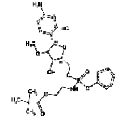 COC1C(O)[C@@H](COP(=O)(NCCOC(=O)C(C)(C)C)Oc2ccccc2)O[C@H]1n1ccc(N)nc1=O